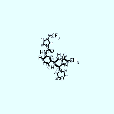 Cc1cc(F)c(NC(=O)N2CC[C@@H](CC(F)(F)F)C2)cc1-c1cc(N2CCOCC2)c2nc(C)c(C)n2c1